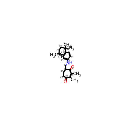 CC1=C(C)C(=O)C(CNc2ccc3c(c2)C(C)(C)CCC3(C)C)CCC1=O